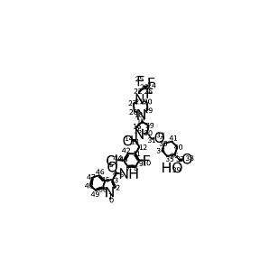 Cn1cc(C(=O)Nc2cc(F)c(CC(=O)N3C[C@@H](N4CCN(CC(F)(F)F)CC4)C[C@H]3CO[C@H]3CC[C@H](C(=O)O)CC3)cc2Cl)c2ccccc21